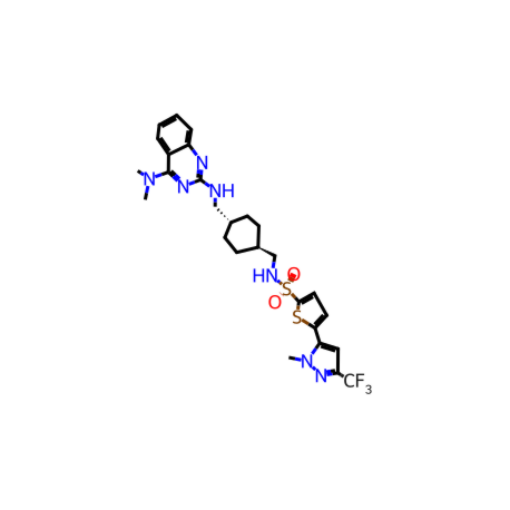 CN(C)c1nc(NC[C@H]2CC[C@H](CNS(=O)(=O)c3ccc(-c4cc(C(F)(F)F)nn4C)s3)CC2)nc2ccccc12